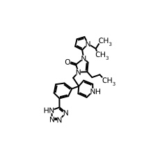 CCCc1cn(-c2cccn2C(C)C)c(=O)n1CC1(c2cccc(-c3nnn[nH]3)c2)C=CNC=C1